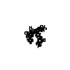 CS(=O)(=O)NC(=O)c1cc(Oc2ccc(C(F)(F)F)cc2Cl)ccc1[N+](=O)[O-].Nc1cnn(-c2ccccc2)c(=O)c1Cl